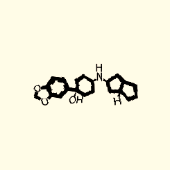 O[C@]1(c2ccc3c(c2)OCO3)CC[C@H](N[C@@H]2C[C]3CCC[C@@H]3C2)CC1